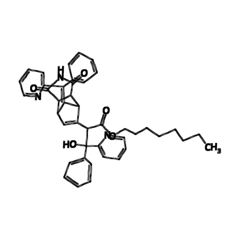 CCCCCCCCOC(=O)C(C1=CC2C(=C(c3ccccc3)c3ccccn3)C1C1C(=O)NC(=O)C21)C(O)(c1ccccc1)c1ccccn1